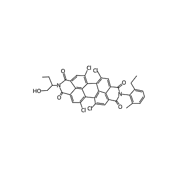 CCc1cccc(C)c1N1C(=O)c2cc(Cl)c3c4c(Cl)cc5c6c(cc(Cl)c(c7c(Cl)cc(c2c37)C1=O)c64)C(=O)N(C(CC)CO)C5=O